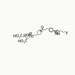 O=C(O)CCC(CP(=O)(O)OCCC1CCN(C(=O)CCc2ccc(-n3cc(CCCF)nn3)cc2)CC1)C(=O)O